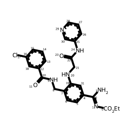 CCOC(=O)/N=C(\N)c1ccc(CNC(=O)c2cccc(Cl)c2)c(NCC(=O)Nc2cccnc2)c1